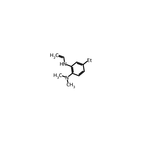 C=CNc1cc(CC)ccc1N(C)C